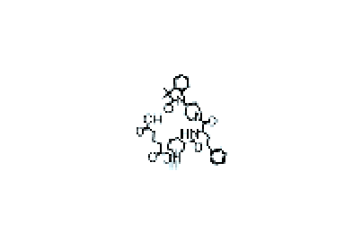 CC1(C)C(=O)N(C2CCN(C(=O)C(CCc3ccccc3)NC(=O)[C@@H]3CCCNC3)CC2)c2ccccc21.O=C(O)CCCC(=O)O